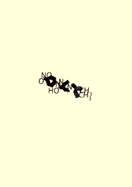 C/C=C\C(=C/C)CN1CCc2c(nn(-c3ccc(C(=O)N=O)cc3)c2O)C1